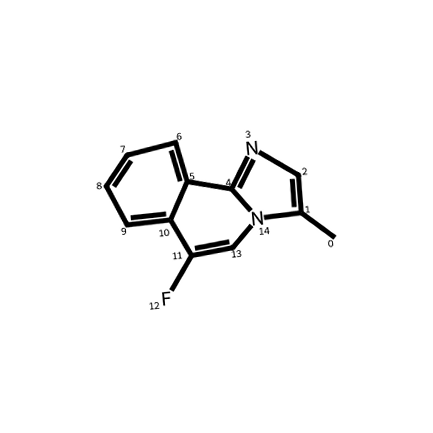 Cc1cnc2c3ccccc3c(F)cn12